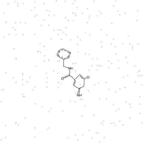 N=C1C=C(C(=O)NCc2ccccc2)C=C([O])C1